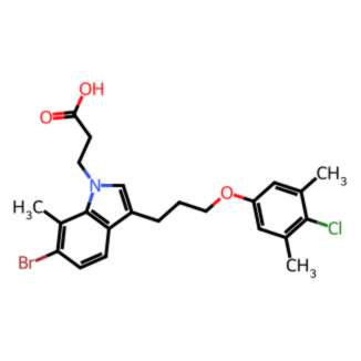 Cc1cc(OCCCc2cn(CCC(=O)O)c3c(C)c(Br)ccc23)cc(C)c1Cl